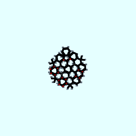 CC1(C)c2ccccc2N(c2c(-c3ccccc3)c(N3c4ccccc4C(C)(C)c4ccccc43)c(N3c4ccccc4C(C)(C)c4ccccc43)c(N3c4ccccc4C(C)(C)c4ccccc43)c2-c2nc3ccccc3o2)c2ccccc21